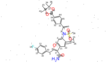 C=C(CN(c1cc2oc(Cc3ccc(F)cc3)c(C(N)=O)c2cc1C1CC1)S(C)(=O)=O)c1ccc(B2OC(C)(C)C(C)(C)O2)cc1